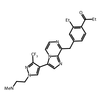 CCC(=O)c1ccc(Cc2nccn3c(-c4cn(CCNC)nc4C(F)(F)F)cnc23)cc1CC